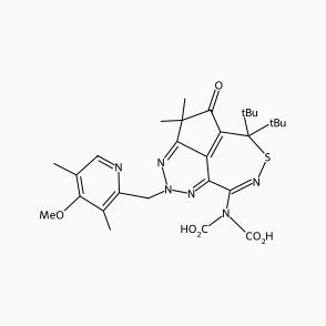 COc1c(C)cnc(CN2N=C3C(N(C(=O)O)C(=O)O)=NSC(C(C)(C)C)(C(C)(C)C)C4=C3C(=N2)C(C)(C)C4=O)c1C